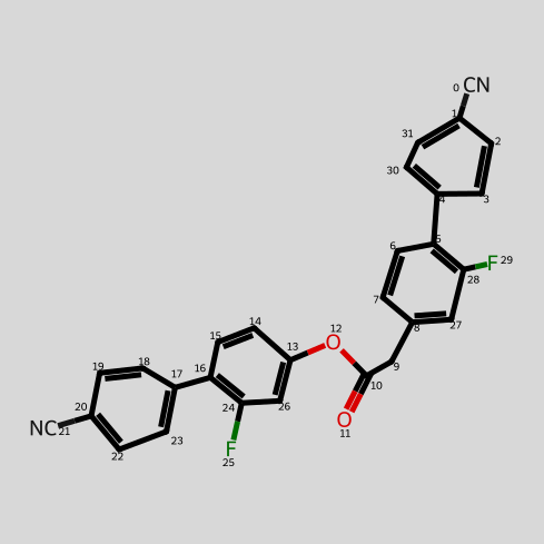 N#Cc1ccc(-c2ccc(CC(=O)Oc3ccc(-c4ccc(C#N)cc4)c(F)c3)cc2F)cc1